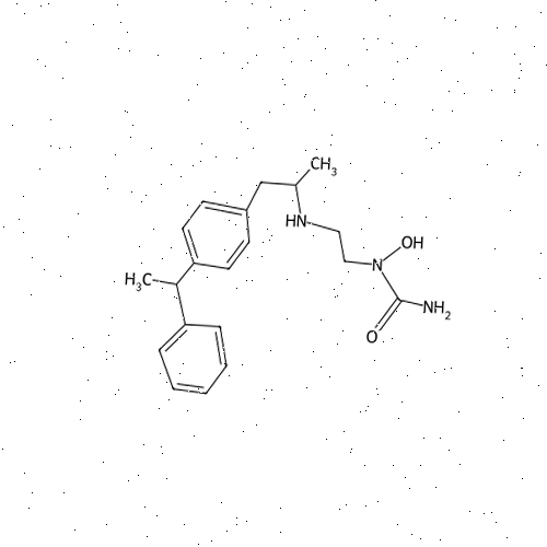 CC(Cc1ccc(C(C)c2ccccc2)cc1)NCCN(O)C(N)=O